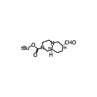 CC(C)(C)OC(=O)N1CCN2C[C@H](C=O)CC[C@H]2C1